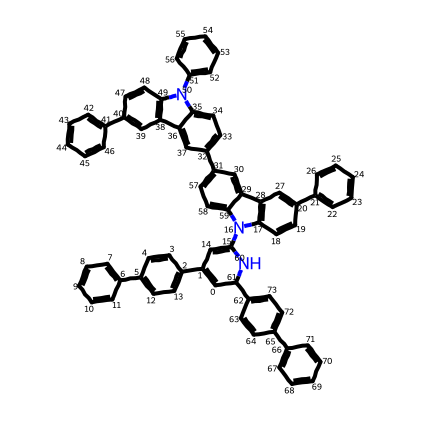 C1=C(c2ccc(-c3ccccc3)cc2)C=C(n2c3ccc(-c4ccccc4)cc3c3cc(-c4ccc5c(c4)c4cc(-c6ccccc6)ccc4n5-c4ccccc4)ccc32)NC1c1ccc(-c2ccccc2)cc1